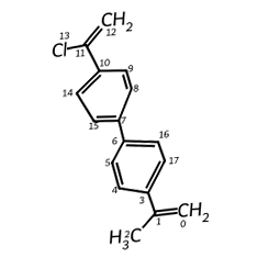 C=C(C)c1ccc(-c2ccc(C(=C)Cl)cc2)cc1